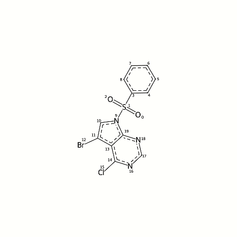 O=S(=O)(c1ccccc1)n1cc(Br)c2c(Cl)ncnc21